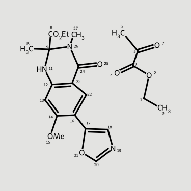 CCOC(=O)C(C)=O.CCOC(=O)C1(C)Nc2cc(OC)c(-c3cnco3)cc2C(=O)N1C